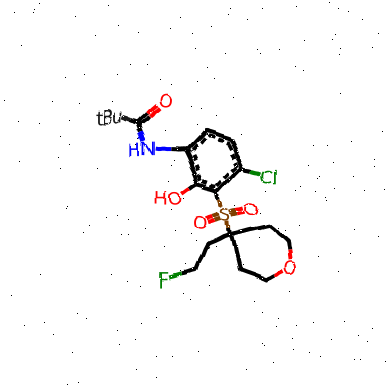 CC(C)(C)C(=O)Nc1ccc(Cl)c(S(=O)(=O)C2(CCF)CCOCC2)c1O